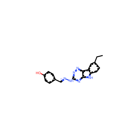 CCc1ccc2[nH]c3nc(N/N=C/c4ccc(O)cc4)nnc3c2c1